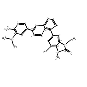 CC(C)c1cc(-c2cccc3cc(-c4cnc(C(=O)O)c(N(C)C)c4)ncc23)cc2c1n(C)c(=O)n2C